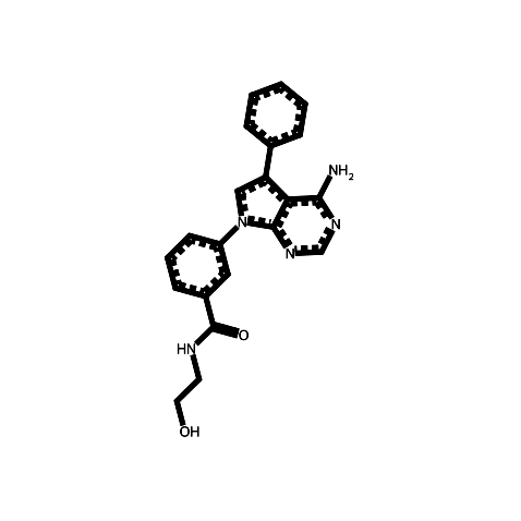 Nc1ncnc2c1c(-c1ccccc1)cn2-c1cccc(C(=O)NCCO)c1